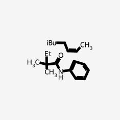 C/C=C\CC(C)CC.CCC(C)(C)C(=O)Nc1ccccc1